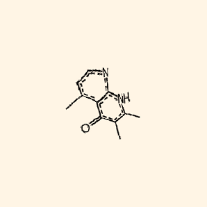 Cc1[nH]c2nccc(C)c2c(=O)c1C